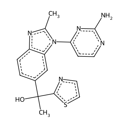 Cc1nc2ccc(C(C)(O)c3nccs3)cc2n1-c1ccnc(N)n1